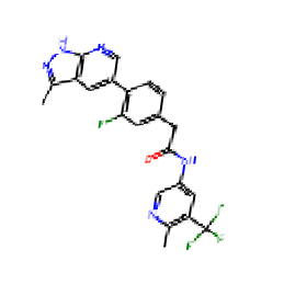 Cc1ncc(NC(=O)Cc2ccc(-c3cnc4[nH]nc(C)c4c3)c(F)c2)cc1C(F)(F)F